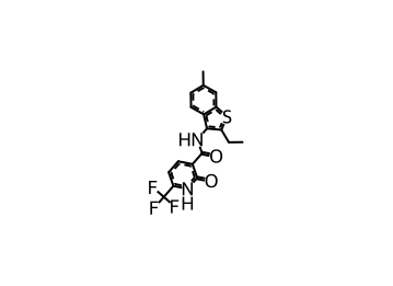 CCc1sc2cc(C)ccc2c1NC(=O)c1ccc(C(F)(F)F)[nH]c1=O